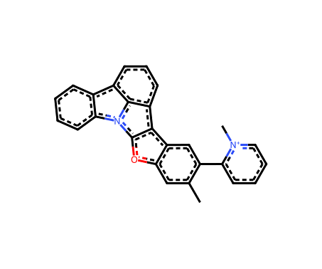 Cc1cc2oc3c(c2cc1-c1cccc[n+]1C)c1cccc2c4ccccc4n3c21